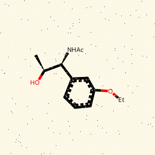 CCOc1cccc([C@H](NC(C)=O)[C@H](C)O)c1